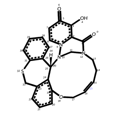 O=C1c2c(O)c(=O)ccn2N2CN1CC/C=C\COc1cccc3c1[C@@H]2c1ccccc1SC3